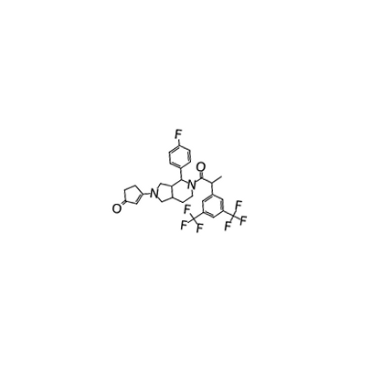 CC(C(=O)N1CCC2CN(C3=CC(=O)CC3)CC2C1c1ccc(F)cc1)c1cc(C(F)(F)F)cc(C(F)(F)F)c1